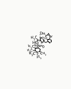 C[C@@H]1[C@@H](NC(=O)[C@@H]2[C@H]([C@H](C)O)[C@H](CO)ON2Cc2cccc(Br)c2OCC2CC2)C[C@@H](C)C(C)(C)[C@H]1C